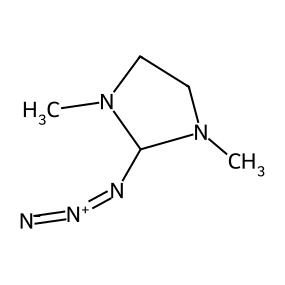 CN1CCN(C)C1N=[N+]=[N-]